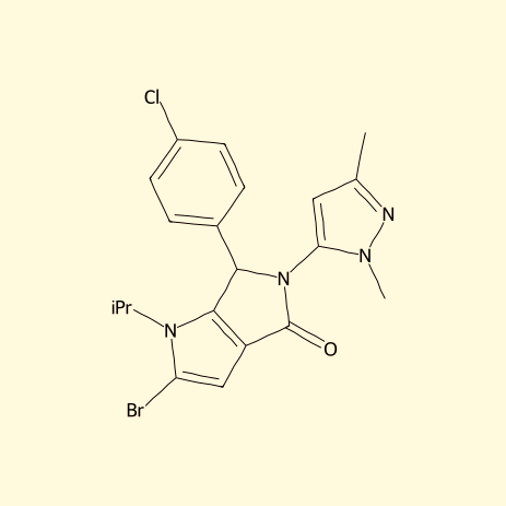 Cc1cc(N2C(=O)c3cc(Br)n(C(C)C)c3C2c2ccc(Cl)cc2)n(C)n1